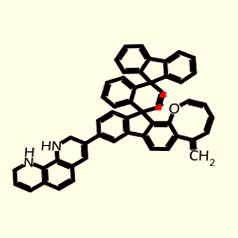 C=C1/C=C\C=C/Oc2c1ccc1c2C2(c3ccc(C4=Cc5ccc6c(c5NC4)NCC=C6)cc3-1)c1ccccc1C1(c3ccccc3-c3ccccc31)c1ccccc12